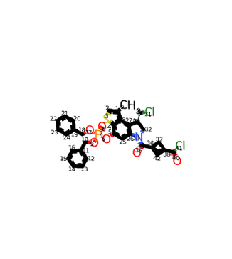 Cc1csc2c(OP(=O)(OCc3ccccc3)OCc3ccccc3)cc3c(c12)[C@H](CCl)CN3C(=O)C12CC(C(=O)Cl)(C1)C2